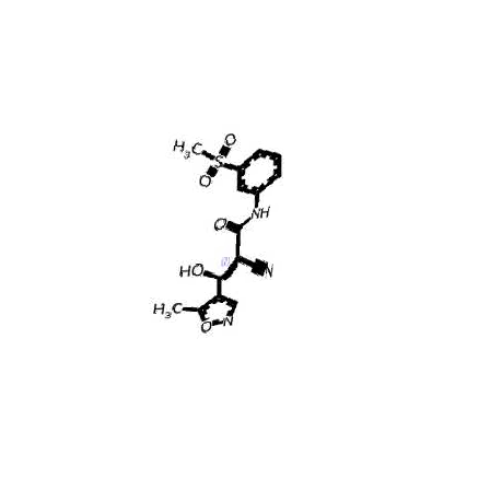 Cc1oncc1/C(O)=C(\C#N)C(=O)Nc1cccc(S(C)(=O)=O)c1